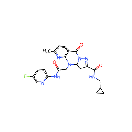 Cc1ccc2c(n1)N(CC(=O)Nc1ccc(F)cn1)C1CC(C(=O)NCC3CC3)=NN1C2=O